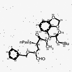 CCCCC[C@H](CN(C=O)OCc1ccccc1)C(=O)N(C)N(C(=O)OC(C)(C)C)c1cccc2c1OCO2